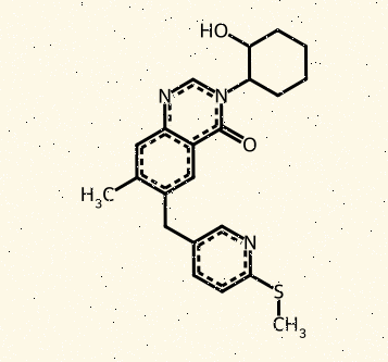 CSc1ccc(Cc2cc3c(=O)n(C4CCCCC4O)cnc3cc2C)cn1